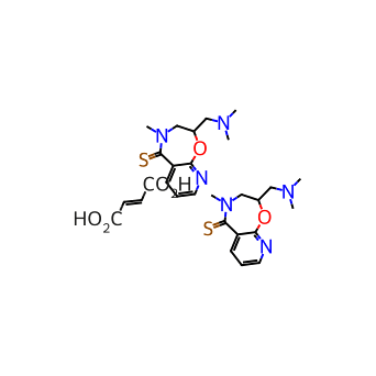 CN(C)CC1CN(C)C(=S)c2cccnc2O1.CN(C)CC1CN(C)C(=S)c2cccnc2O1.O=C(O)C=CC(=O)O